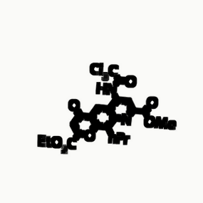 CCCc1c2nc(C(=O)OC)cc(NC(=O)C(Cl)(Cl)Cl)c2cc2c(=O)cc(C(=O)OCC)oc12